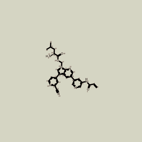 C=CC(=O)Nc1cncc(-c2cnc3c(c2)c(-c2ccnc(C#N)c2)cn3COC(=O)[C@@H](N)CC(C)C)c1